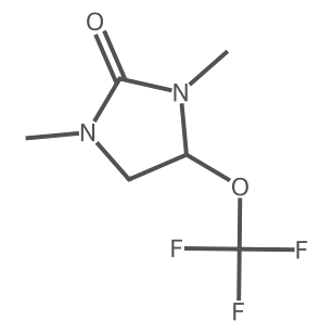 CN1CC(OC(F)(F)F)N(C)C1=O